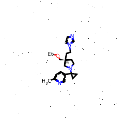 CCOC[C@@]1(CCn2ccnc2)CCN(C2(c3ccc(C)nc3)CC2)C1